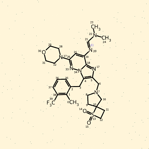 Cc1c(Cc2c(CN3CCC4(CCS4(=O)=O)C3)nc3c(/N=C/N(C)C)cc(N4CCOCC4)nn23)cccc1C(F)(F)F